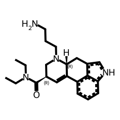 CCN(CC)C(=O)[C@@H]1C=C2c3cccc4[nH]cc(c34)C[C@H]2N(CCCN)C1